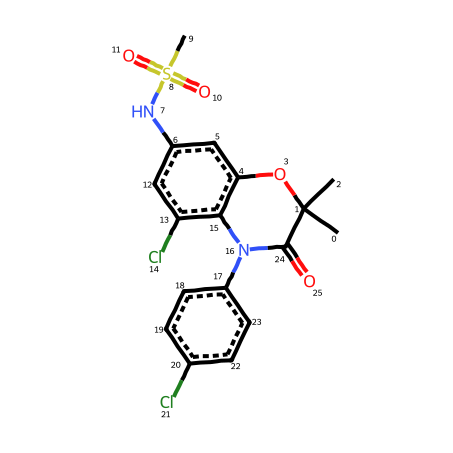 CC1(C)Oc2cc(NS(C)(=O)=O)cc(Cl)c2N(c2ccc(Cl)cc2)C1=O